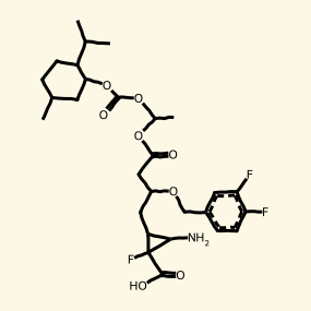 CC1CCC(C(C)C)C(OC(=O)OC(C)OC(=O)CC(CC2C(N)C2(F)C(=O)O)OCc2ccc(F)c(F)c2)C1